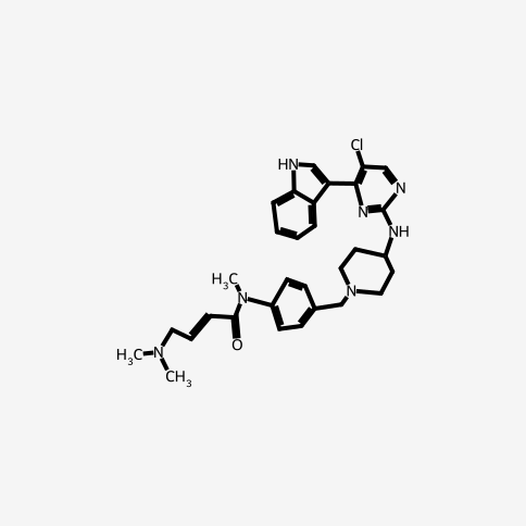 CN(C)C/C=C/C(=O)N(C)c1ccc(CN2CCC(Nc3ncc(Cl)c(-c4c[nH]c5ccccc45)n3)CC2)cc1